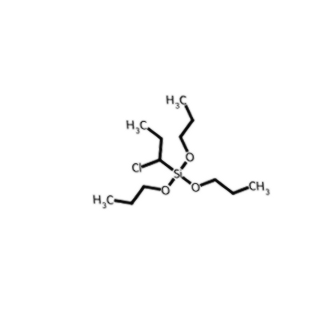 CCCO[Si](OCCC)(OCCC)C(Cl)CC